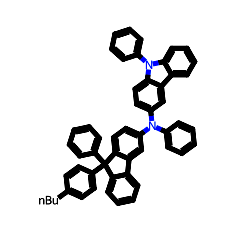 CCCCc1ccc(C2(c3ccccc3)c3ccccc3-c3cc(N(c4ccccc4)c4ccc5c(c4)c4ccccc4n5-c4ccccc4)ccc32)cc1